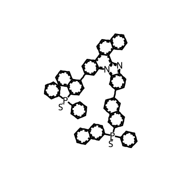 S=P(c1ccccc1)(c1ccc2ccccc2c1)c1ccc2cc(-c3ccc4nc5c6c7ccccc7ccc6c6ccc(-c7ccc(P(=S)(c8ccccc8)c8ccccc8)c8ccccc78)cc6n5c4c3)ccc2c1